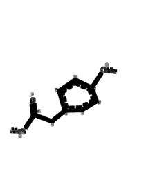 COc1ccc(CC(=O)SC)cc1